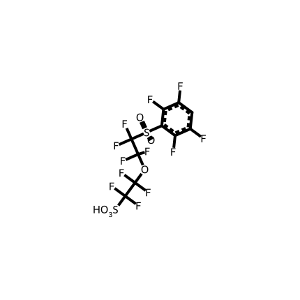 O=S(=O)(O)C(F)(F)C(F)(F)OC(F)(F)C(F)(F)S(=O)(=O)c1c(F)c(F)cc(F)c1F